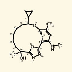 CCNc1cc(C(F)(F)F)c2nc1-c1nnc(o1)[C@@](O)(C(F)(F)F)CCCCCC(C1CC1)O2